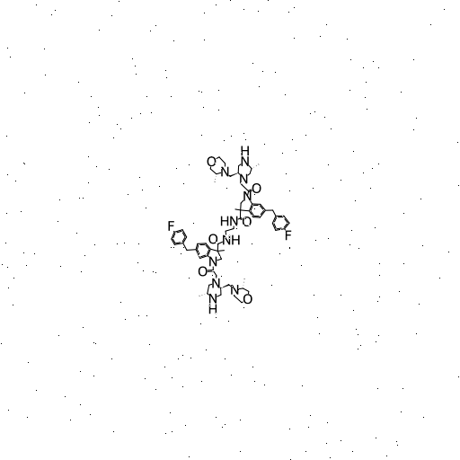 C[C@@H]1CN(CC(=O)N2CC(C)(C(=O)NCCNC(=O)C3(C)CN(C(=O)CN4C[C@@H](C)NC[C@@H]4CN4CCOC[C@H]4C)c4cc(Cc5ccc(F)cc5)ccc43)c3ccc(Cc4ccc(F)cc4)cc32)[C@@H](CN2CCOC[C@H]2C)CN1